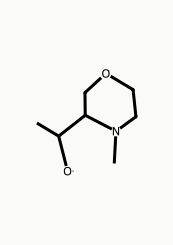 CC([O])C1COCCN1C